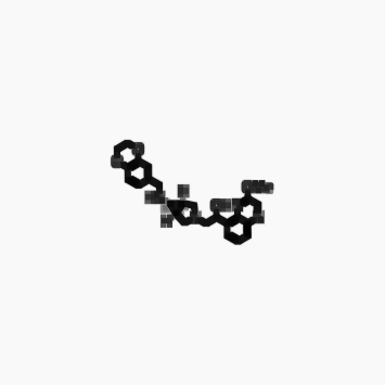 COc1cnc2cccc(C(O)CN3C[C@@H]4[C@H](C3)[C@H]4NCc3ccc4c(c3)OCCO4)c2n1